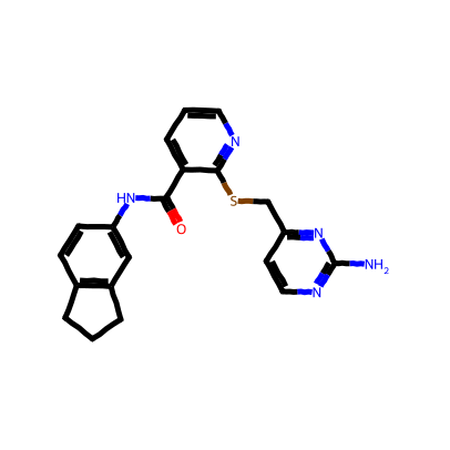 Nc1nccc(CSc2ncccc2C(=O)Nc2ccc3c(c2)CCC3)n1